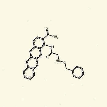 NC(=O)c1ccc2cc3cc4ccccc4cc3cc2c1NC(=O)CNOCc1ccccc1